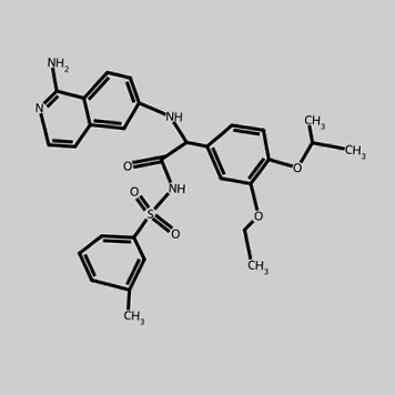 CCOc1cc(C(Nc2ccc3c(N)nccc3c2)C(=O)NS(=O)(=O)c2cccc(C)c2)ccc1OC(C)C